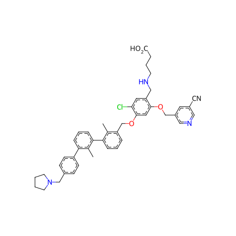 Cc1c(COc2cc(OCc3cncc(C#N)c3)c(CNCCCC(=O)O)cc2Cl)cccc1-c1cccc(-c2ccc(CN3CCCC3)cc2)c1C